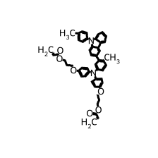 C=CC(=O)OCCCOc1ccc(N(c2ccc(OCCCOC(=O)C=C)cc2)c2ccc(C)c(-c3ccc4c(c3)c3ccccc3n4-c3ccc(C)cc3)c2)cc1